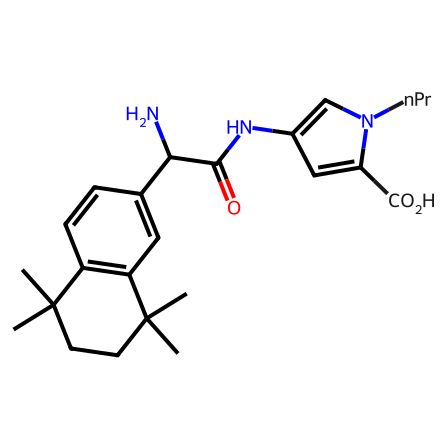 CCCn1cc(NC(=O)C(N)c2ccc3c(c2)C(C)(C)CCC3(C)C)cc1C(=O)O